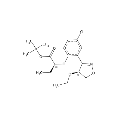 CCO[C@@H]1CON=C1c1cc(Cl)ccc1O[C@@H](CC)C(=O)OC(C)(C)C